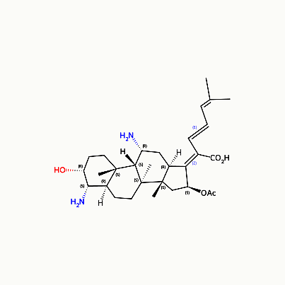 CC(=O)O[C@H]1C[C@@]2(C)[C@@H](C[C@@H](N)[C@H]3[C@@]4(C)CC[C@@H](O)[C@@H](N)[C@@H]4CC[C@@]32C)/C1=C(\C=C\C=C(C)C)C(=O)O